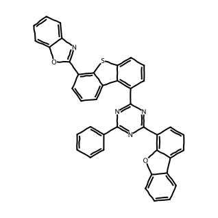 c1ccc(-c2nc(-c3cccc4c3oc3ccccc34)nc(-c3cccc4sc5c(-c6nc7ccccc7o6)cccc5c34)n2)cc1